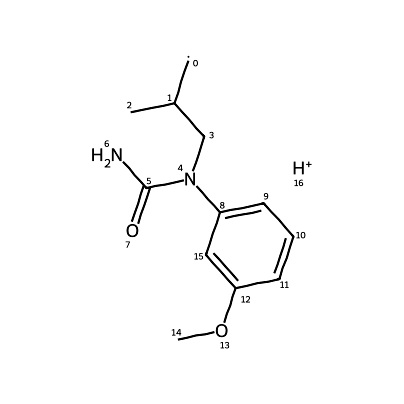 [CH2]C(C)CN(C(N)=O)c1cccc(OC)c1.[H+]